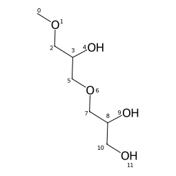 COCC(O)COCC(O)CO